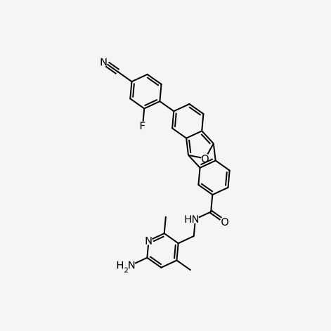 Cc1cc(N)nc(C)c1CNC(=O)c1ccc2c(c1)c1oc2c2ccc(-c3ccc(C#N)cc3F)cc21